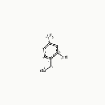 CC(C)(C)Cc1ccc(C(F)(F)F)cc1C#N